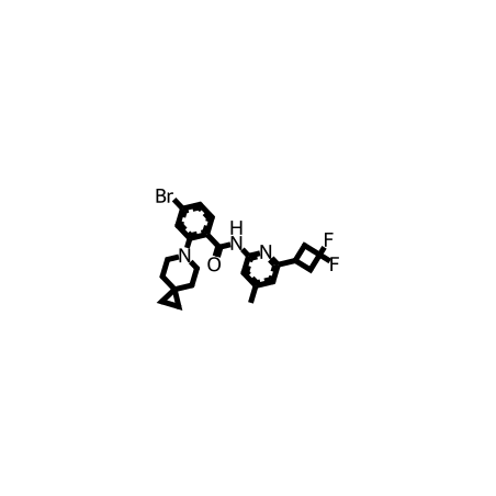 Cc1cc(NC(=O)c2ccc(Br)cc2N2CCC3(CC2)CC3)nc(C2CC(F)(F)C2)c1